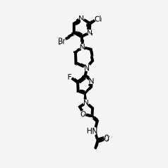 CC(=O)NCC1CN(c2cnc(N3CCN(c4nc(Cl)ncc4Br)CC3)c(F)c2)CO1